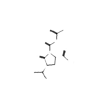 C=C(C)OC(=O)N1C(=O)[C@H](C(C)C)C[C@H]1C(=O)O